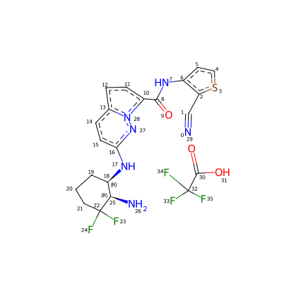 N#Cc1sccc1NC(=O)c1ccc2ccc(N[C@@H]3CCCC(F)(F)[C@@H]3N)nn12.O=C(O)C(F)(F)F